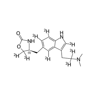 [2H]c1[nH]c2c([2H])c([2H])c(C[C@@H]3NC(=O)OC3([2H])[2H])c([2H])c2c1CC([2H])([2H])N(C)C